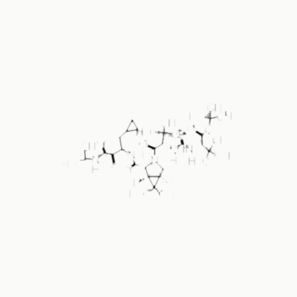 CC(C)NC(=O)C(=O)C(CC1CC1)NC(=O)[C@@H]1[C@@H]2[C@H](CN1C(=O)[C@@H](NC(=O)N[C@H](C(=O)OC(C)(C)C)C(C)(C)C)C(C)(C)C)C2(C)C